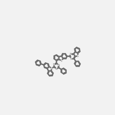 c1ccc(-c2ccc3c(c2)c2ccccc2n3-c2nc(-c3ccccc3)nc(-c3cccc4c3sc3cc(-c5nc(-c6ccccc6)c6sc7ccccc7c6n5)ccc34)n2)cc1